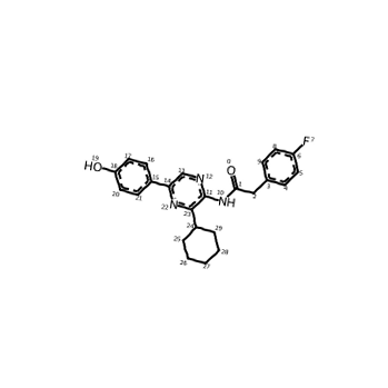 O=C(Cc1ccc(F)cc1)Nc1ncc(-c2ccc(O)cc2)nc1C1CCCCC1